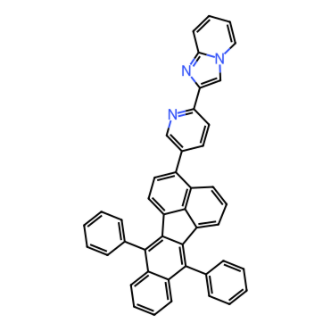 c1ccc(-c2c3c(c(-c4ccccc4)c4ccccc24)-c2ccc(-c4ccc(-c5cn6ccccc6n5)nc4)c4cccc-3c24)cc1